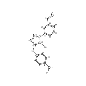 COc1ccc(Cn2nnc(-c3ccnc(C=O)c3)c2C)cc1